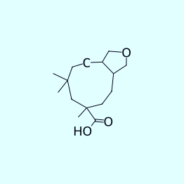 CC1(C)CCC2COCC2CCC(C)(C(=O)O)C1